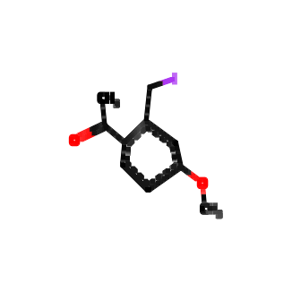 COc1ccc(C(C)=O)c(CI)c1